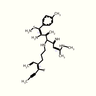 C=C/C(CCCNC(C(=C)/C(N)=C(/SN)c1ccc(C)cc1)C(=N)/C=C(/C)NC)=C(/F)C#CC